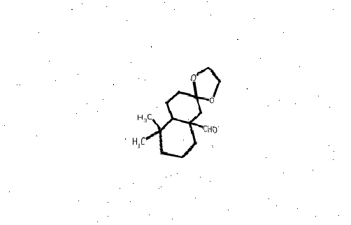 CC1(C)CCCC2(C=O)CC3(CCC12)OCCO3